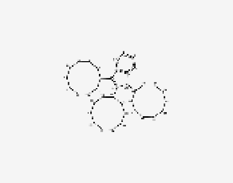 c1ccc2c(c1)C(C1CCCCCCCCC1)=C(C1CCCCCCCCC1)C2C1CCCCCCCCC1